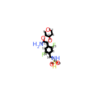 NC(=O)[C@H](OC1CCOCC1)c1cc(F)c(CN[SH](=O)=O)cc1F